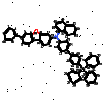 c1ccc(-c2ccc3c(c2)oc2cc(N(c4ccc(-c5ccc([Si](c6ccccc6)(c6ccccc6)c6ccccc6)cc5)cc4)c4cccc5ccccc45)ccc23)cc1